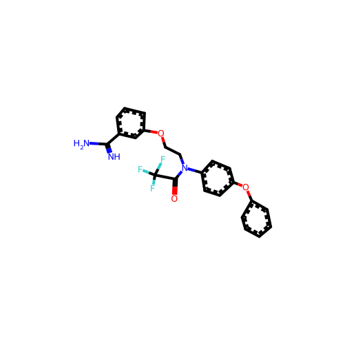 N=C(N)c1cccc(OCCN(C(=O)C(F)(F)F)c2ccc(Oc3ccccc3)cc2)c1